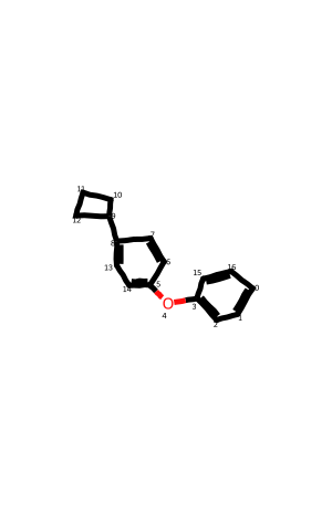 c1ccc(Oc2ccc([C]3CCC3)cc2)cc1